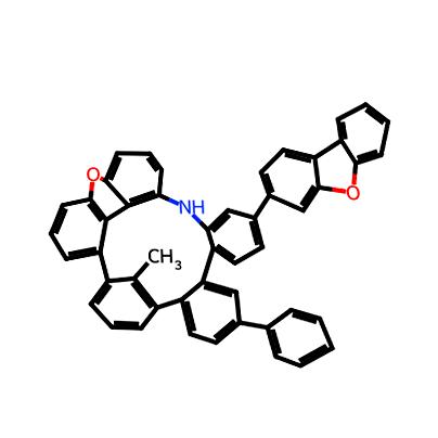 Cc1c2cccc1-c1cccc3oc4cccc(c4c13)Nc1cc(-c3ccc4c(c3)oc3ccccc34)ccc1-c1cc(-c3ccccc3)ccc1-2